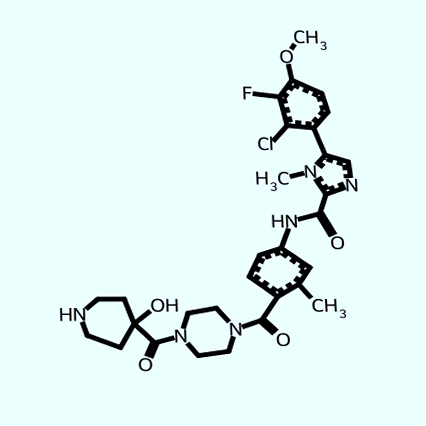 COc1ccc(-c2cnc(C(=O)Nc3ccc(C(=O)N4CCN(C(=O)C5(O)CCNCC5)CC4)c(C)c3)n2C)c(Cl)c1F